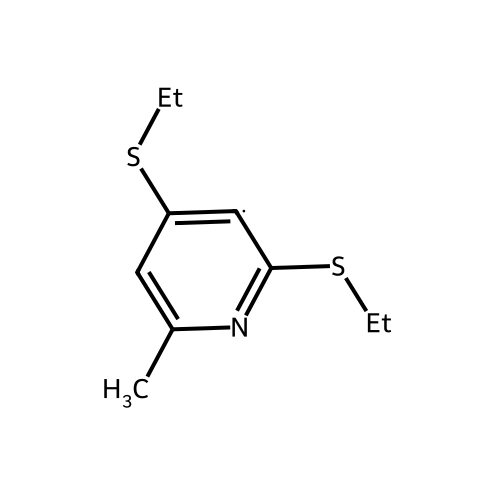 CCSc1[c]c(SCC)nc(C)c1